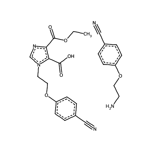 CCOC(=O)c1ncn(CCOc2ccc(C#N)cc2)c1C(=O)O.N#Cc1ccc(OCCN)cc1